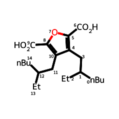 CCCCC(CC)Cc1c(C(=O)O)oc(C(=O)O)c1CC(CC)CCCC